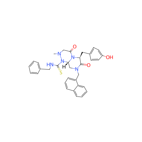 CN1CC(=O)N2[C@@H](Cc3ccc(O)cc3)C(=O)N(Cc3cccc4ccccc34)C[C@@H]2N1C(=S)NCc1ccccc1